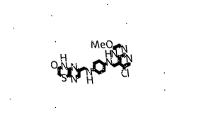 COc1cnc2ncc(Cl)c(CNC3CCC(NCc4cnc5c(n4)NC(=O)CS5)CC3)c2n1